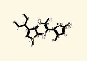 CCC(CC)c1cn(C)c2nc(-c3sc(Br)cc3C)c(C)nc12